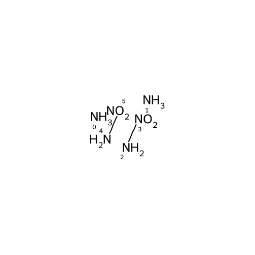 N.N.N[N+](=O)[O-].N[N+](=O)[O-]